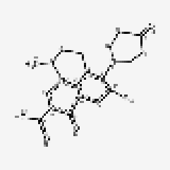 CC1CCc2c(N3CCC(=O)CC3)c(F)cc3c(=O)c(C(=O)O)cn1c23